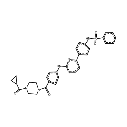 O=C(c1ccc(Nc2nccc(-c3ccc(NS(=O)(=O)c4ccccc4)cc3)n2)cc1)N1CCN(C(=O)C2CC2)CC1